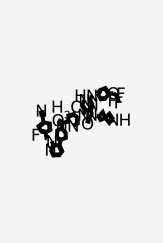 Cc1nc(Nc2ccc(OC(F)(F)F)cc2)nc2c1n(-c1ccc(C(=O)N3CCc4c(n(Cc5ccc(C#N)cc5F)c5ncccc45)C3)nc1)c(=O)n2C1CC2(CNC2)C1